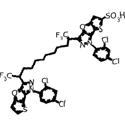 O=S(=O)(O)c1cc2oc3c(C(CCCCCCCCC(c4nn(-c5ccc(Cl)cc5Cl)c5c4oc4ccsc45)C(F)(F)F)C(F)(F)F)nn(-c4ccc(Cl)cc4Cl)c3c2s1